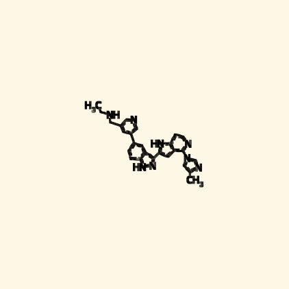 CCNCc1cncc(-c2ccc3[nH]nc(-c4cc5c(-n6cnc(C)c6)nccc5[nH]4)c3c2)c1